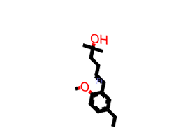 CCc1ccc(OC)c(/C=C/CCC(C)(C)O)c1